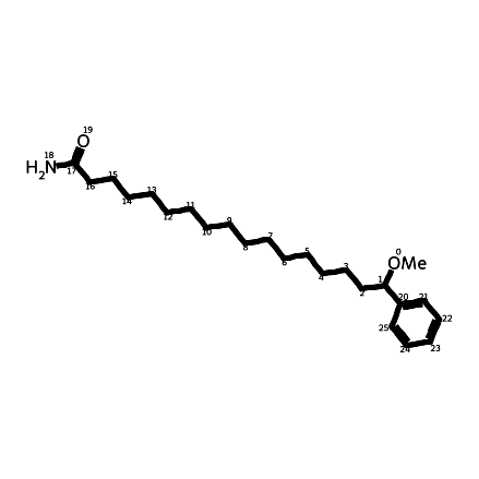 COC(CCCCCCCCCCCCCCCC(N)=O)c1ccccc1